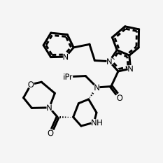 CC(C)CN(C(=O)c1nc2ccccc2n1CCc1ccccn1)[C@@H]1CNC[C@H](C(=O)N2CCOCC2)C1